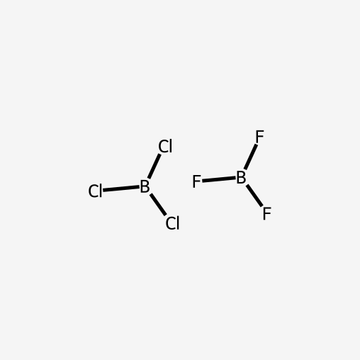 ClB(Cl)Cl.FB(F)F